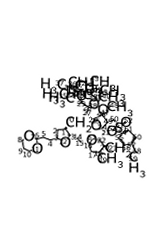 C=C1C[C@H](CCC2OCCCO2)O[C@H]1CC[C@H]1C[C@H](C)C(=C)[C@@H](C[C@@H]2O[C@H](CC(CO[Si](C)(C)C(C)(C)C)O[Si](C)(C)C(C)(C)C)[C@@H](OC)[C@H]2CS(=O)(=O)c2ccc(CC)cc2)O1